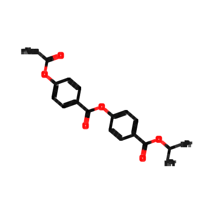 CCCCCCCCCC(=O)Oc1ccc(C(=O)Oc2ccc(C(=O)OC(CCC)CCC)cc2)cc1